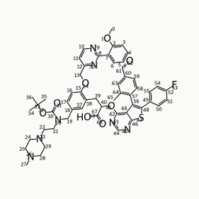 COc1ccccc1-c1nccc(COc2ccc(CN(CCN3CCN(C)CC3)C(=O)OC(C)(C)C)cc2CC(Oc2ncnc3sc(-c4ccc(F)cc4)c(-c4ccc(C=O)cc4C)c23)C(=O)O)n1